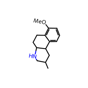 COc1cccc2c1CCC1NCC(C)CC21